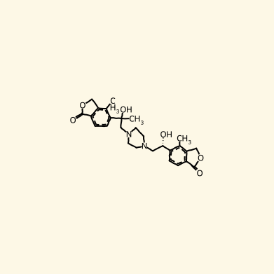 Cc1c([C@@H](O)CN2CCN(CC(C)(O)c3ccc4c(c3C)COC4=O)CC2)ccc2c1COC2=O